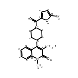 CCOC(=O)c1c(N2CCN(C(=O)c3ccc(Br)o3)CC2)c2ccccc2n(C)c1=O